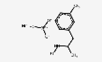 CCNC(C)Cc1cccc(C(F)(F)F)c1.Cl.[O-][Br+2]([O-])O